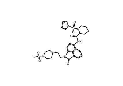 CS(=O)(=O)N1CCC(CCN2C(=O)c3cccc4c(NC(=O)C5CCCCN5S(=O)(=O)c5cccs5)ccc2c34)CC1